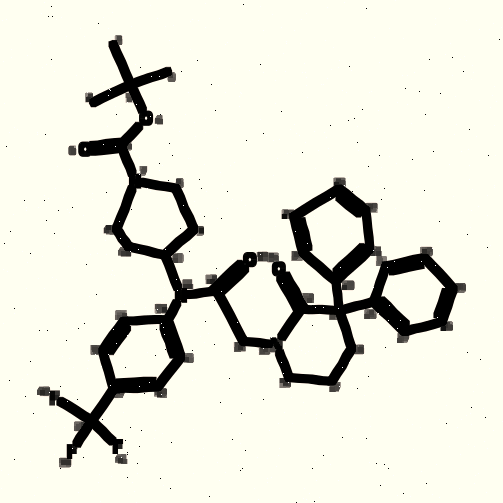 CC(C)(C)OC(=O)N1CCC(N(C(=O)CN2CCCC(c3ccccc3)(c3ccccc3)C2=O)c2ccc(C(F)(F)F)cc2)CC1